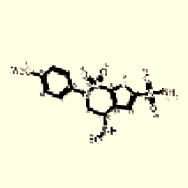 CCN[C@H]1CN(c2ccc(OC)cc2)S(=O)(=O)c2sc(S(N)(=O)=O)cc21